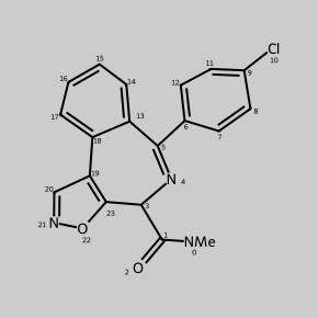 CNC(=O)C1N=C(c2ccc(Cl)cc2)c2ccccc2-c2cnoc21